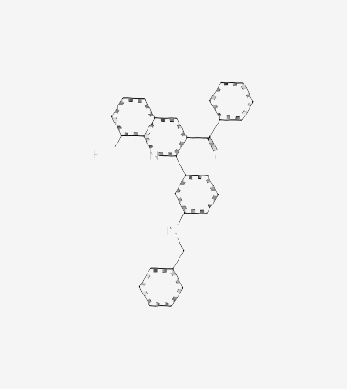 O=C(c1ccccc1)c1cc2cccc(C(F)(F)F)c2nc1-c1cccc(NCc2cc[c]cc2)c1